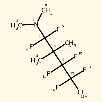 CN(C)C(F)(F)C(C)(C)C(F)(F)C(F)(F)C(F)(F)F